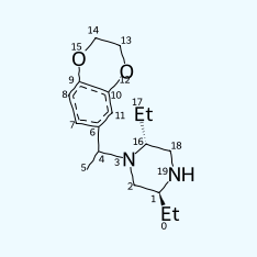 CC[C@H]1CN(C(C)c2ccc3c(c2)OCCO3)[C@H](CC)CN1